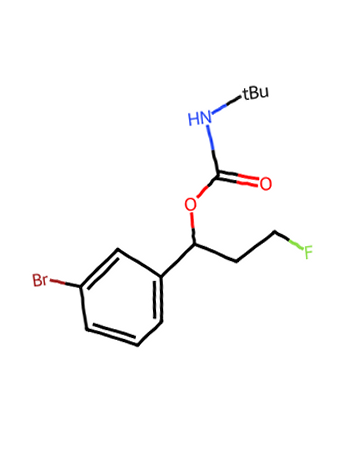 CC(C)(C)NC(=O)OC(CCF)c1cccc(Br)c1